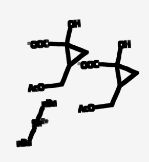 CC(=O)OCC1CC1(O)C(=O)[O-].CC(=O)OCC1CC1(O)C(=O)[O-].CCC[CH2][Sn+2][CH2]CCC